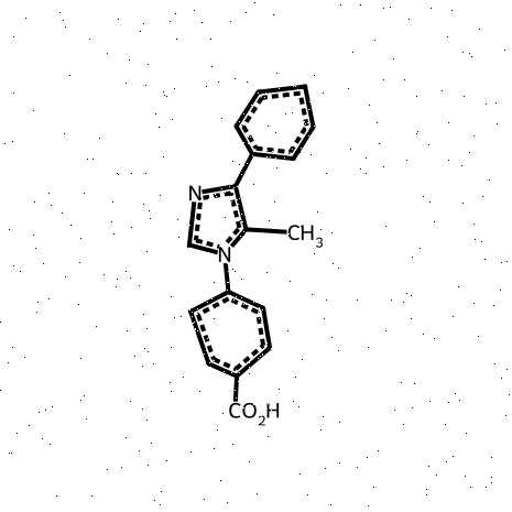 Cc1c(-c2ccccc2)ncn1-c1ccc(C(=O)O)cc1